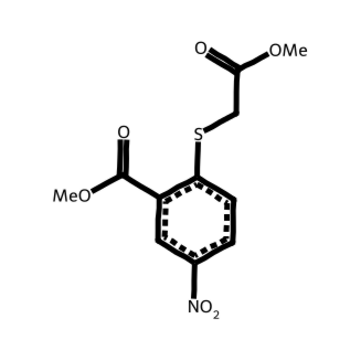 COC(=O)CSc1ccc([N+](=O)[O-])cc1C(=O)OC